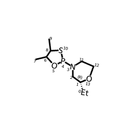 CC[C@@H]1CN(P2OC(C)C(C)S2)CCO1